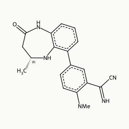 CNc1ccc(-c2cccc3c2N[C@H](C)CC(=O)N3)cc1C(=N)C#N